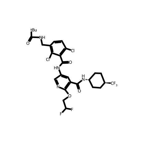 CC(C)(C)C(=O)NCc1ccc(Cl)c(C(=O)Nc2cnc(OCC(F)F)c(C(=O)N[C@H]3CC[C@H](C(F)(F)F)CC3)c2)c1Cl